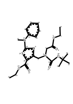 CCOC(=O)CN(Cc1nc(N(C)c2ccccc2)sc1C(=O)OCC)C(=O)OC(C)(C)C